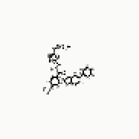 O=C(NCc1nnc(CS(=O)(=O)O)o1)c1ccc(C(F)(F)F)cc1-c1nc2ccc(-c3ccccc3)cc2s1